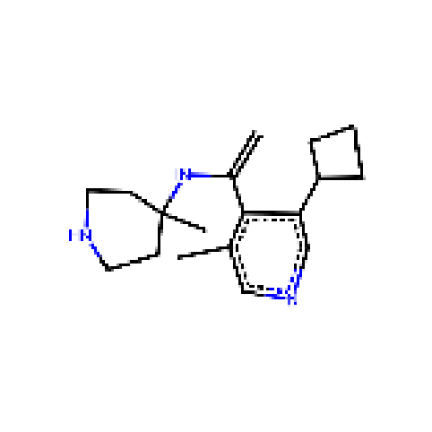 C=C(NC1(C)CCNCC1)c1c(C)cncc1C1CCC1